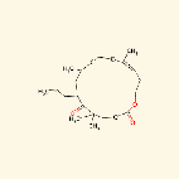 C=CCC1CC(C)CCCC(C)=CCCOC(=O)CCC(C)(C)C1=O